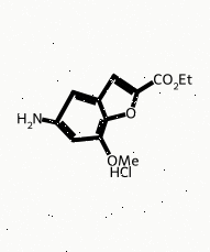 CCOC(=O)c1cc2cc(N)cc(OC)c2o1.Cl